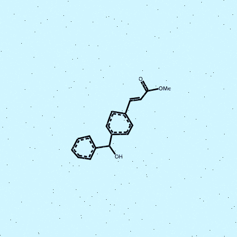 COC(=O)C=Cc1ccc(C(O)c2ccccc2)cc1